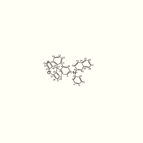 c1ccc(N(c2ccc3c(c2)-c2ccccc2C32c3ccccc3Oc3ccccc32)c2ccc3ccccc3c2)cc1